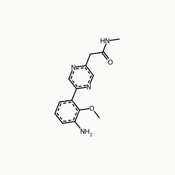 CNC(=O)Cc1cnc(-c2cccc(N)c2OC)cn1